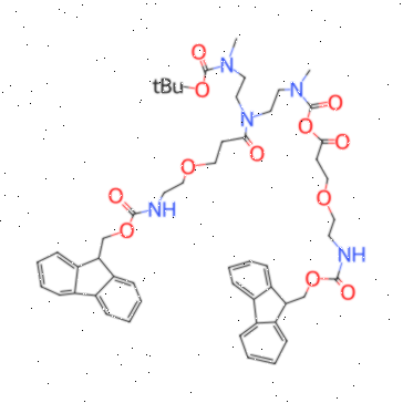 CN(CCN(CCN(C)C(=O)OC(C)(C)C)C(=O)CCOCCNC(=O)OCC1c2ccccc2-c2ccccc21)C(=O)OC(=O)CCOCCNC(=O)OCC1c2ccccc2-c2ccccc21